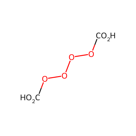 O=C(O)OOOOC(=O)O